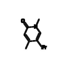 Cc1cc(=O)n(C)cc1C(C)C